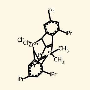 CC(C)C1=C2c3c(C(C)C)cc(C(C)C)cc3[CH]1[Zr+2][CH]1C(C(C)C)=C(c3c(C(C)C)cc(C(C)C)cc31)[Si]2(C)C.[Cl-].[Cl-]